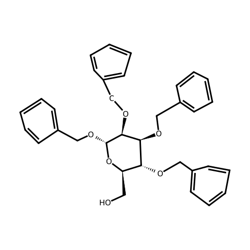 OC[C@H]1O[C@H](OCc2ccccc2)[C@@H](OCc2ccccc2)[C@@H](OCc2ccccc2)[C@@H]1OCc1ccccc1